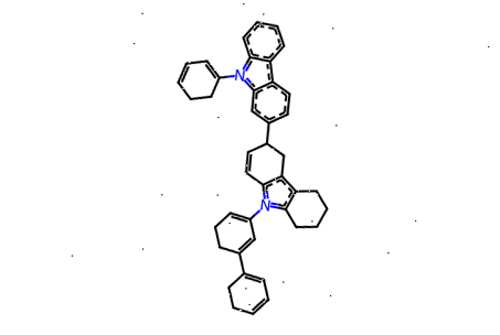 C1=CCCC(C2=CC(n3c4c(c5c3CCCC5)CC(c3ccc5c6ccccc6n(C6=CC=CCC6)c5c3)C=C4)=CCC2)=C1